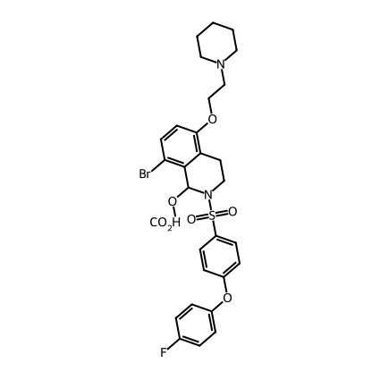 O=C(O)OC1c2c(Br)ccc(OCCN3CCCCC3)c2CCN1S(=O)(=O)c1ccc(Oc2ccc(F)cc2)cc1